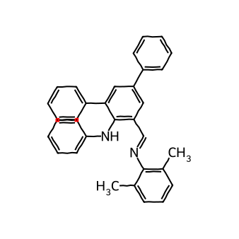 Cc1cccc(C)c1/N=C/c1cc(-c2ccccc2)cc(-c2ccccc2)c1Nc1ccccc1